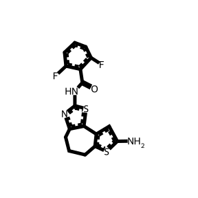 Nc1cc2c(s1)CCCc1nc(NC(=O)c3c(F)cccc3F)sc1-2